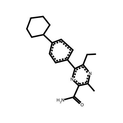 CCc1nc(C)c(C(N)=O)nc1-c1ccc(C2CC[CH]CC2)cc1